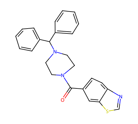 O=C(c1ccc2ncsc2c1)N1CCN(C(c2ccccc2)c2ccccc2)CC1